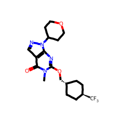 Cn1c(OC[C@H]2CC[C@H](C(F)(F)F)CC2)nc2c(cnn2C2CCOCC2)c1=O